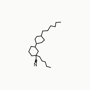 CCCCCCC1CCC(C2CCCC(C#N)(CCCCC)C2)CC1